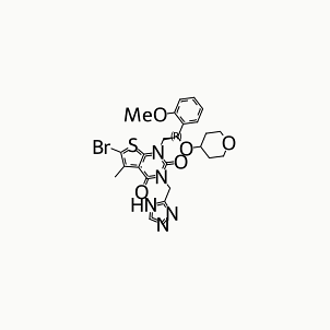 COc1ccccc1[C@H](Cn1c(=O)n(Cc2nnc[nH]2)c(=O)c2c(C)c(Br)sc21)OC1CCOCC1